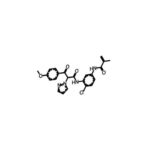 C=C(C)C(=O)Nc1ccc(Cl)c(NC(=O)C(C(=O)c2ccc(OC)cc2)n2cccn2)c1